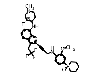 COc1cc(P2(=O)CCCCC2)ccc1NCC#Cc1sc2c(NC3CCN(C)C[C@H]3F)cccc2c1CC(F)(F)F